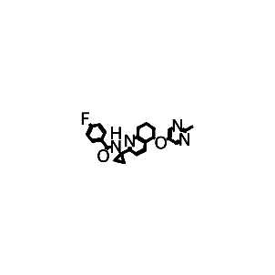 Cc1ncc(OC2CCCc3nc(C4(NC(=O)c5ccc(F)cc5)CC4)ccc32)cn1